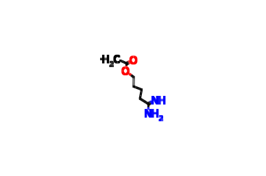 [CH2]C(=O)OCCCCC(=N)N